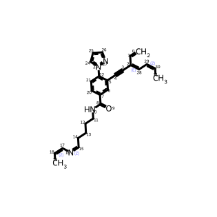 C=C/C(C#Cc1cc(C(=O)NCCCC/C=N\C=C/C)ccc1-n1cccn1)=C\C=C/C